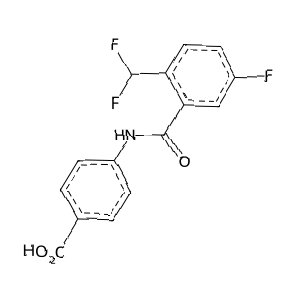 O=C(O)c1ccc(NC(=O)c2cc(F)ccc2C(F)F)cc1